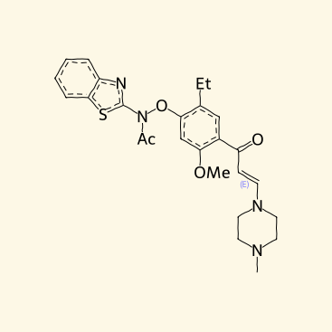 CCc1cc(C(=O)/C=C/N2CCN(C)CC2)c(OC)cc1ON(C(C)=O)c1nc2ccccc2s1